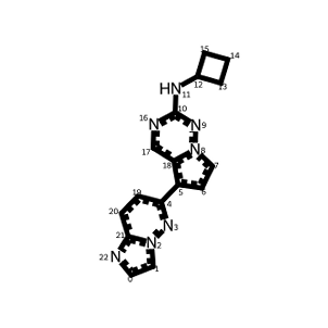 c1cn2nc(-c3ccn4nc(NC5CCC5)ncc34)ccc2n1